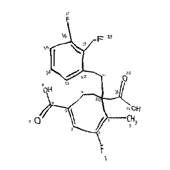 CC1=C(F)C=C(C(=O)O)CC1(Cc1cccc(F)c1F)C(=O)O